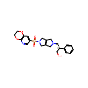 O=S(=O)(c1cnc2c(c1)OCCO2)N1CC2=C(CN(C[C@H](CO)c3ccccc3)C2)C1